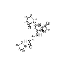 O=C(NCCNc1cc(-c2ccccc2Cl)nc2c(Br)cnn12)C1CCCC1